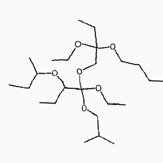 CCCCOC(CC)(COC(OCC)(OCC(C)C)[C](CC)OC(C)CC)OCC